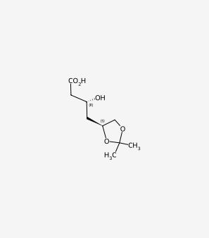 CC1(C)OC[C@H](C[C@@H](O)CC(=O)O)O1